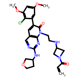 C=CC(=O)N1CC(NCCn2c(=O)c(-c3cc(OC)cc(OC)c3Cl)cc3cnc(NC4CCOC4)nc32)C1